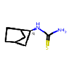 NC(=S)N[C@H]1CC2CCC1C2